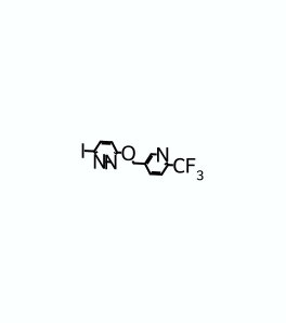 FC(F)(F)c1ccc(COc2ccc(I)nn2)cn1